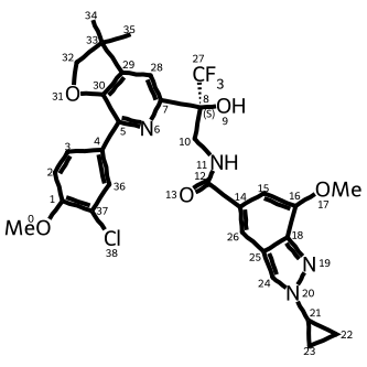 COc1ccc(-c2nc([C@@](O)(CNC(=O)c3cc(OC)c4nn(C5CC5)cc4c3)C(F)(F)F)cc3c2OCC3(C)C)cc1Cl